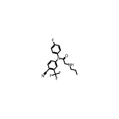 CCCNCC(=O)N(c1ccc(F)cc1)c1ccc(C#N)c(C(F)(F)F)c1